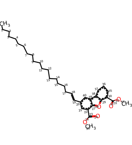 CCCCCCCCCCCCCCCCCCC=Cc1cc(C(=O)OC)c2oc3c(C(=O)OC)cccc3c2c1